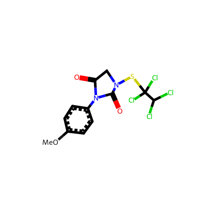 COc1ccc(N2C(=O)CN(SC(Cl)(Cl)C(Cl)Cl)C2=O)cc1